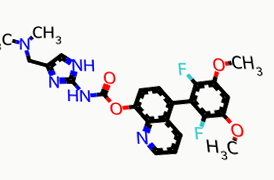 COc1cc(OC)c(F)c(-c2ccc(OC(=O)Nc3nc(CN(C)C)c[nH]3)c3ncccc23)c1F